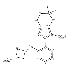 CO[C@H]1C[C@@H](N(C)c2ccccc2-c2sc3c(c2C(=O)O)CC(C)(C)CC3)C1